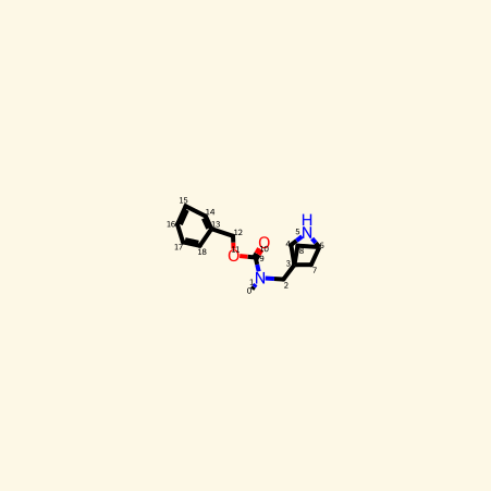 CN(CC12CNC(C1)C2)C(=O)OCc1ccccc1